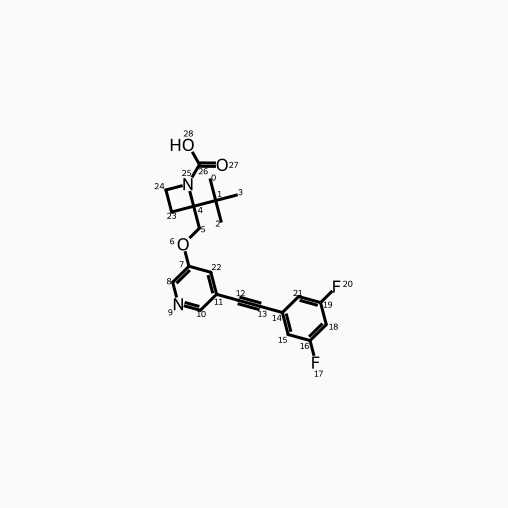 CC(C)(C)C1(COc2cncc(C#Cc3cc(F)cc(F)c3)c2)CCN1C(=O)O